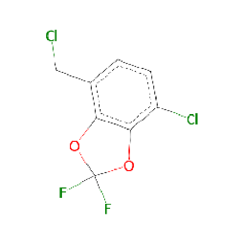 FC1(F)Oc2c(Cl)ccc(CCl)c2O1